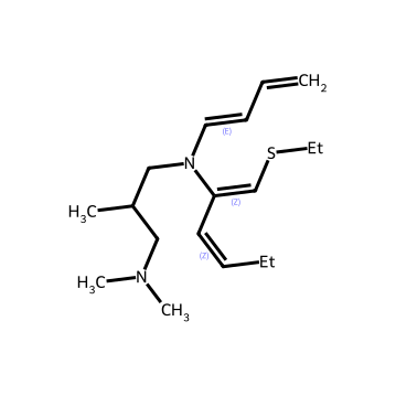 C=C/C=C/N(CC(C)CN(C)C)C(/C=C\CC)=C\SCC